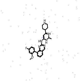 COc1cc(F)ccc1-c1cccc2cnc(N/C(=C/C(=N)C3CCNCC3)NC(C)C)nc12